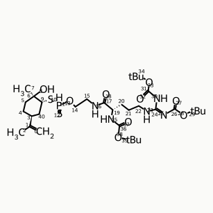 C=C(C)[C@H]1CC[C@@](C)(O)[C@H](S[PH](=S)OCCNC(=O)[C@H](CCCN/C(=N/C(=O)OC(C)(C)C)NC(=O)OC(C)(C)C)NC(=O)OC(C)(C)C)C1